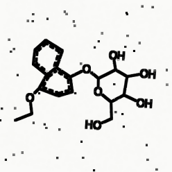 CCOc1ccc(OC2OC(CO)C(O)C(O)C2O)c2ccccc12